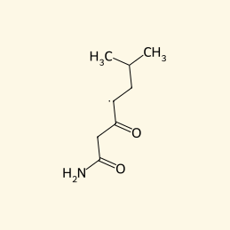 CC(C)C[CH]C(=O)CC(N)=O